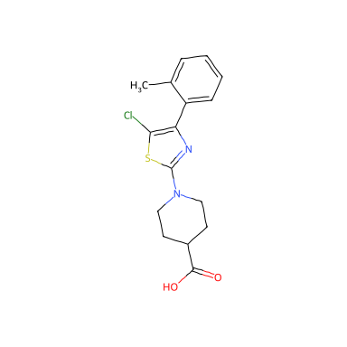 Cc1ccccc1-c1nc(N2CCC(C(=O)O)CC2)sc1Cl